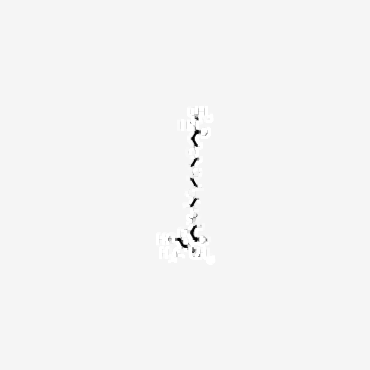 CCNC(=O)CCOCCOCCOCCSSCCC(=O)N(C)C(C)C(=O)O